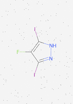 Fc1c(I)n[nH]c1I